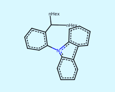 CCCCCCC(CCCCCC)c1ccccc1-n1c2ccccc2c2ccccc21